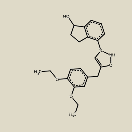 CCOc1ccc(CC2=CN(c3cccc4c3CCC4O)NO2)cc1OCC